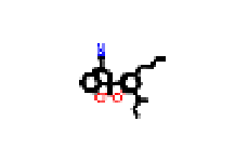 C=C(C#N)CC1(c2ccccc2)C(=O)Oc2c(C(C)CC)cc(CCCC)cc21